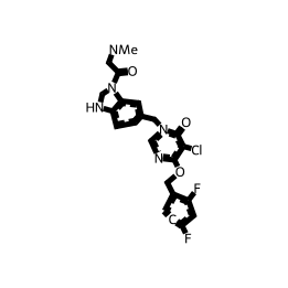 CNCC(=O)N1CNc2ccc(Cn3cnc(OCc4ccc(F)cc4F)c(Cl)c3=O)cc21